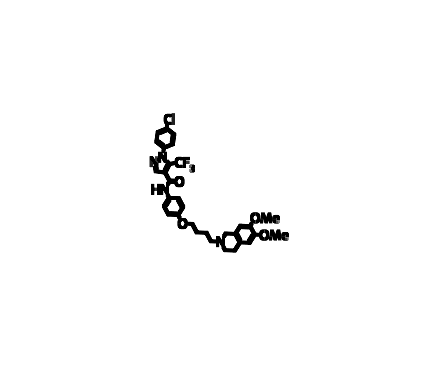 COc1cc2c(cc1OC)CN(CCCCOc1ccc(NC(=O)c3cnn(-c4ccc(Cl)cc4)c3C(F)(F)F)cc1)CC2